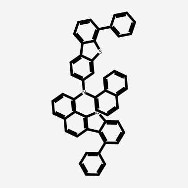 c1ccc(-c2cccc3c2sc2cc(N(c4cccc5ccccc45)c4cccc5ccc6c(oc7cccc(-c8ccccc8)c76)c45)ccc23)cc1